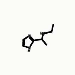 CCNC(C)c1ncc[nH]1